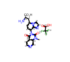 Cn1c(=O)n(-c2ccc(C[C@H](N)C(=O)O)n3ccnc23)c(=O)c2ccncc21.O=C(O)C(F)(F)F